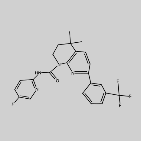 CC1(C)CCN(C(=O)Nc2ccc(F)cn2)c2nc(-c3cccc(C(F)(F)F)c3)ccc21